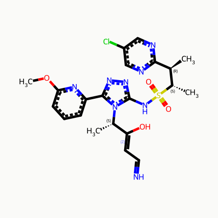 COc1cccc(-c2nnc(NS(=O)(=O)[C@@H](C)[C@H](C)c3ncc(Cl)cn3)n2[C@@H](C)/C(O)=C/C=N)n1